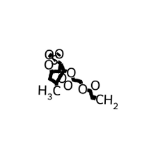 C=CC(=O)OCC(=O)OC1C2C3OC1(C)CC3OS2(=O)=O